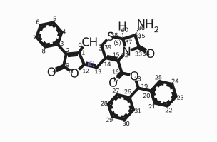 CC1=C(c2ccccc2)C(=O)O/C1=C/C1=C(C(=O)OC(c2ccccc2)c2ccccc2)N2C(=O)[C@@H](N)[C@@H]2SC1